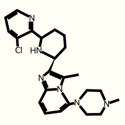 Cc1c([C@@H]2CCCC(c3ncccc3Cl)N2)nc2cccc(N3CCN(C)CC3)n12